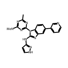 CNc1nc(C)nc(-n2c(Nc3cc[nH]n3)nc3cc(-c4cccnc4)ccc32)n1